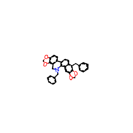 c1ccc(Cc2c3c(cc4c5c(ccc24)-c2ccc4c(c2CN5Cc2ccccc2)OCO4)OCO3)cc1